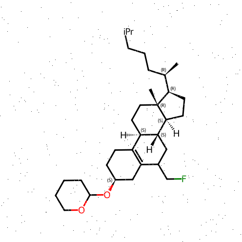 CC(C)CCC[C@@H](C)[C@H]1CC[C@H]2[C@@H]3CC(CF)C4=C(CC[C@H](OC5CCCCO5)C4)[C@H]3CC[C@]12C